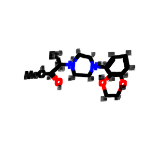 CC[C@H](C(=O)OC)N1CCN(c2cccc3c2OCCO3)CC1